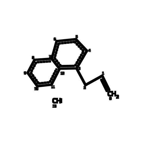 C=CCc1cccc2ccccc12.[CH]